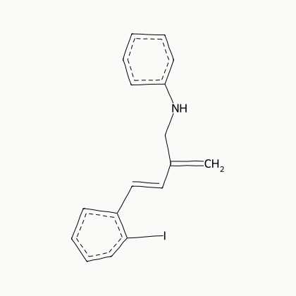 C=C(C=Cc1ccccc1I)CNc1ccccc1